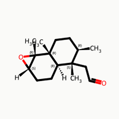 C[C@@H]1CC[C@]2(C)[C@H](CC[C@@H]3O[C@@]32C)[C@@]1(C)CC=O